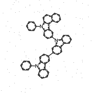 c1ccc(-n2c3ccccc3c3cc(-c4ccc5c6ccccc6n(-c6ccc7c(c6)c6c8ccccc8ccc6n7-c6ccccc6)c5c4)ccc32)cc1